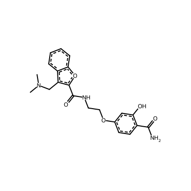 CN(C)Cc1c(C(=O)NCCOc2ccc(C(N)=O)c(O)c2)oc2ccccc12